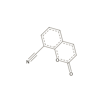 N#Cc1cccc2ccc(=O)oc12